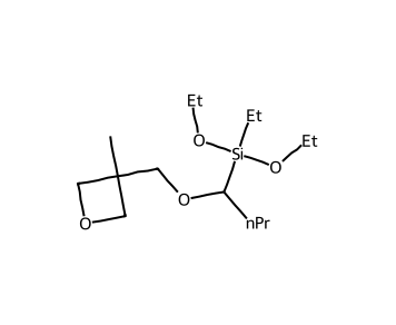 CCCC(OCC1(C)COC1)[Si](CC)(OCC)OCC